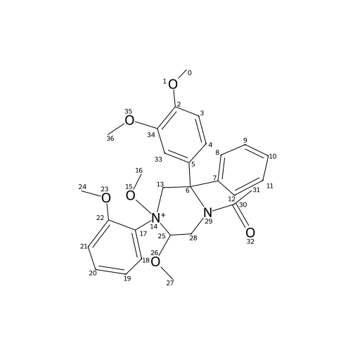 COc1ccc(C2(c3ccccc3)C[N+](OC)(c3ccccc3OC)C(OC)CN2C(C)=O)cc1OC